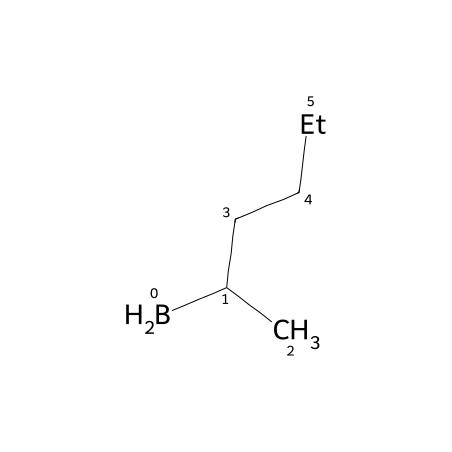 BC(C)CCCC